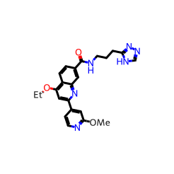 CCOc1cc(-c2ccnc(OC)c2)nc2cc(C(=O)NCCCc3nnc[nH]3)ccc12